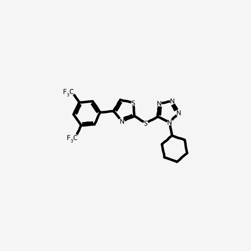 FC(F)(F)c1cc(-c2csc(Sc3nnnn3C3CCCCC3)n2)cc(C(F)(F)F)c1